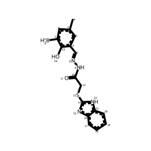 Bc1cc(C)cc(/C=N/NC(=O)CSc2nc3ccccc3[nH]2)c1O